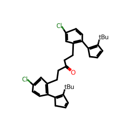 CC(C)(C)C1=C(c2ccc(Cl)cc2CCC(=O)CCc2cc(Cl)ccc2C2=C(C(C)(C)C)C=CC2)CC=C1